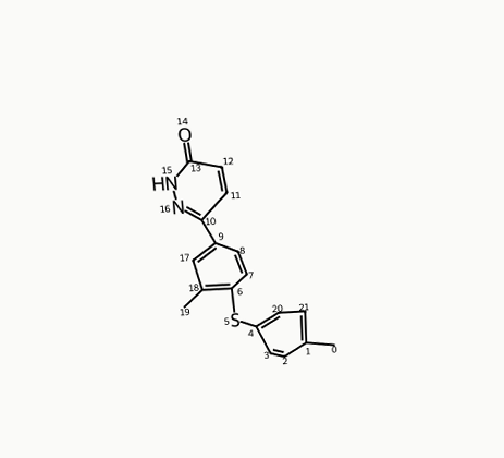 Cc1ccc(Sc2ccc(-c3ccc(=O)[nH]n3)cc2C)cc1